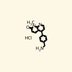 Cl.Cn1c(=O)ccc2c(-c3ccc(CN)cc3)ccnc21